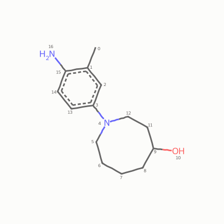 Cc1cc(N2CCCCC(O)CC2)ccc1N